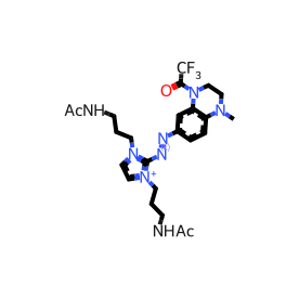 CC(=O)NCCCn1cc[n+](CCCNC(C)=O)c1/N=N/c1ccc2c(c1)N(C(=O)C(F)(F)F)CCN2C